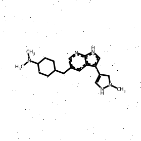 CN1CC(c2c[nH]c3ncc(CC4CCC(N(C)C)CC4)cc23)=CN1